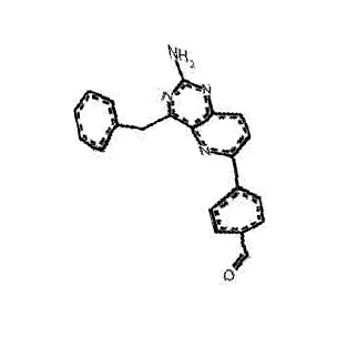 Nc1nc(Cc2ccccc2)c2nc(-c3ccc(C=O)cc3)ccc2n1